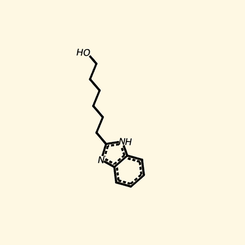 OCCCCCCc1nc2ccccc2[nH]1